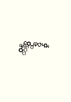 O=C(N[C@@H]1CCc2ccc(C(=O)N3CCC4(CCN(c5ccncc5)CC4)C3)cc21)c1cccc(Cl)c1Cl